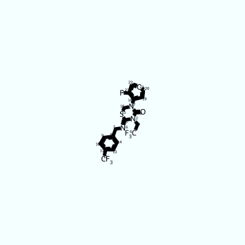 O=C1N(CC(F)(F)F)C(=NCc2ccc(C(F)(F)F)cc2)SCN1c1ccccc1F